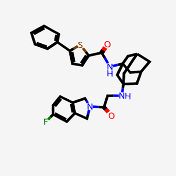 O=C(NC12CC3CC(CC(NCC(=O)N4Cc5ccc(F)cc5C4)(C3)C1)C2)c1ccc(-c2ccccc2)s1